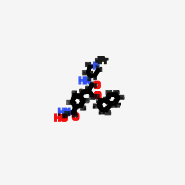 CC(C)N1CCC(NC(=O)/C(=C/c2ccc(C(=O)NO)cc2)COc2cccc3ccccc23)CC1